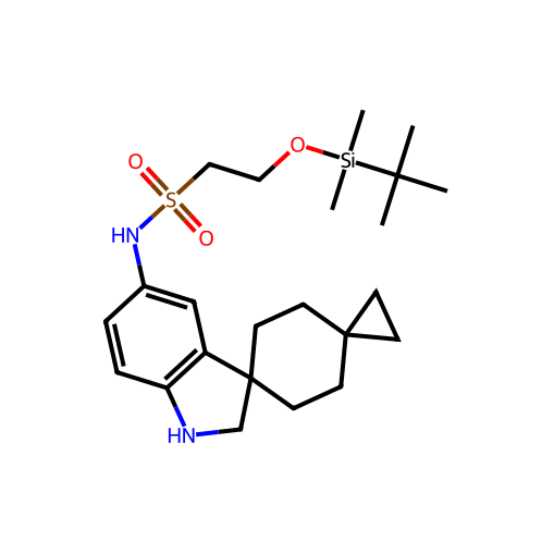 CC(C)(C)[Si](C)(C)OCCS(=O)(=O)Nc1ccc2c(c1)C1(CCC3(CC3)CC1)CN2